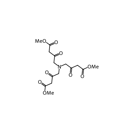 COC(=O)CC(=O)CN(CC(=O)CC(=O)OC)CC(=O)CC(=O)OC